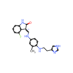 Cc1cc(N/C=C2/C(=O)Nc3cccc(F)c32)ccc1NCCc1c[nH]cn1